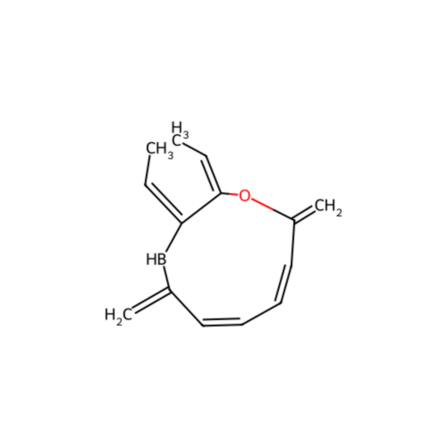 C=C1BC(=C/C)/C(=C\C)OC(=C)/C=C\C=C/1